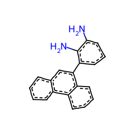 Nc1cccc(-c2cc3ccccc3c3ccccc23)c1N